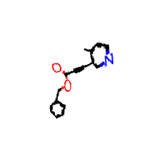 Cc1ccncc1C#CC(=O)OCc1ccccc1